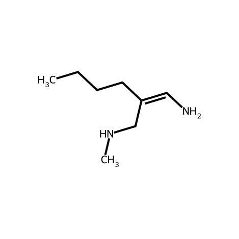 CCCC/C(=C/N)CNC